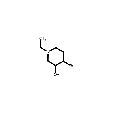 CCN1CCC(Br)C(O)C1